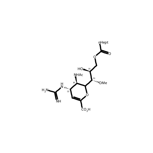 CCCCCCCC(=O)OC[C@H](O)[C@H](OC)C1OC(C(=O)O)=C[C@H](NC(=N)N)[C@H]1NC(C)=O